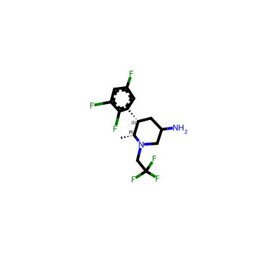 C[C@@H]1[C@H](c2cc(F)cc(F)c2F)CC(N)CN1CC(F)(F)F